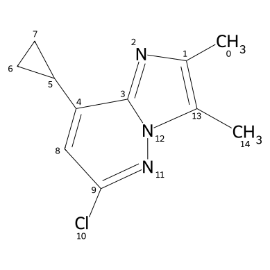 Cc1nc2c(C3CC3)cc(Cl)nn2c1C